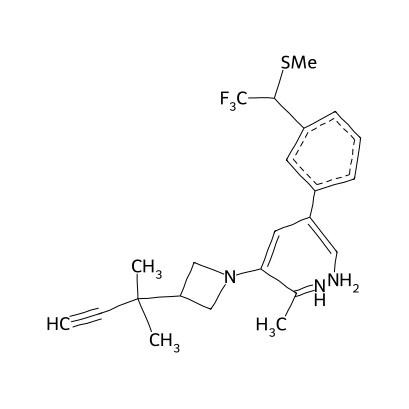 C#CC(C)(C)C1CN(/C(=C/C(=C\N)c2cccc(C(SC)C(F)(F)F)c2)C(C)=N)C1